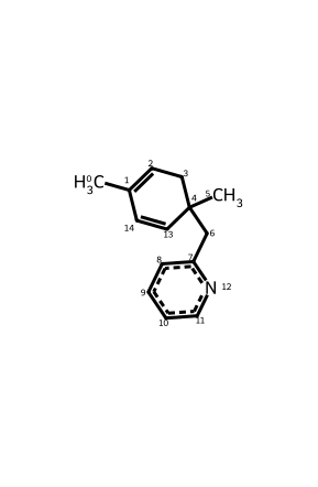 CC1=CCC(C)(Cc2ccccn2)C=C1